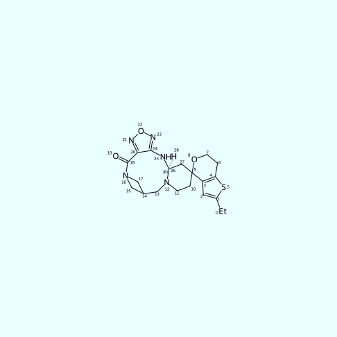 CCc1cc2c(s1)CCOC21CCN2CC3CN(C3)C(=O)c3nonc3N[C@H]2C1